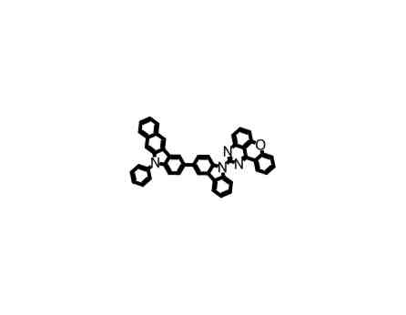 C1=CC2C(C=C1c1ccc3c(c1)c1cc4ccccc4cc1n3-c1ccccc1)c1ccccc1N2c1nc2c3c(cccc3n1)Oc1ccccc1-2